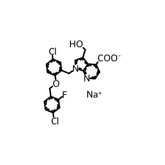 O=C([O-])c1ccnc2c1c(CO)cn2Cc1cc(Cl)ccc1OCc1ccc(Cl)cc1F.[Na+]